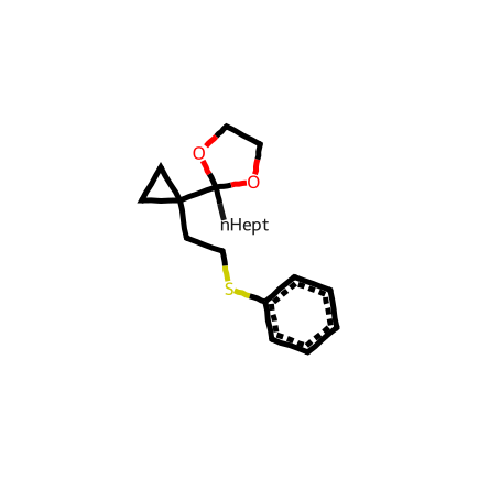 CCCCCCCC1(C2(CCSc3ccccc3)CC2)OCCO1